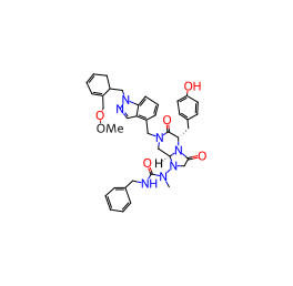 COOCC1=CC=CCC1Cn1ncc2c(CN3C[C@H]4N(C(=O)CN4N(C)C(=O)NCc4ccccc4)[C@@H](Cc4ccc(O)cc4)C3=O)cccc21